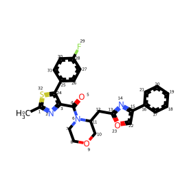 Cc1nc(C(=O)N2CCOCC2Cc2nc(-c3ccccc3)co2)c(-c2ccc(F)cc2)s1